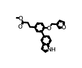 COC(=O)CCc1ccc(OCc2ccoc2)c(-c2ccc3[nH]ccc3c2)c1